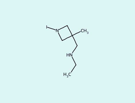 CCNCC1(C)CN(I)C1